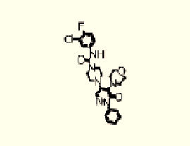 O=C(Nc1ccc(F)c(Cl)c1)N1CCN(c2cnn(-c3ccccc3)c(=O)c2N2CCOCC2)CC1